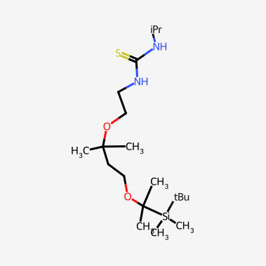 CC(C)NC(=S)NCCOC(C)(C)CCOC(C)(C)[Si](C)(C)C(C)(C)C